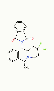 C[C@@H](c1ccccc1)N1CCC(F)(F)CC1CN1C(=O)c2ccccc2C1=O